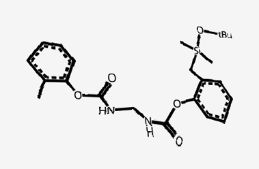 Cc1ccccc1OC(=O)NCNC(=O)Oc1ccccc1C[Si](C)(C)OC(C)(C)C